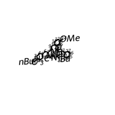 CCCCOc1ccc(CC2/C(=C/c3ccc(OC)cc3)N(C(=O)OCc3ccccc3)/C(=N\C(=O)C(C)CC)N2C)cc1